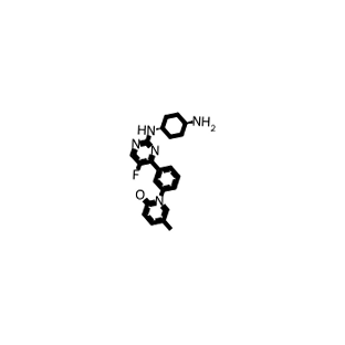 Cc1ccc(=O)n(-c2cccc(-c3nc(N[C@H]4CC[C@H](N)CC4)ncc3F)c2)c1